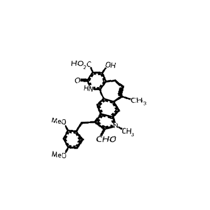 COc1ccc(Cc2c(C=O)n(C)c3cc4c(cc23)-c2[nH]c(=O)c(C(=O)O)c(O)c2CC=C4C)c(OC)c1